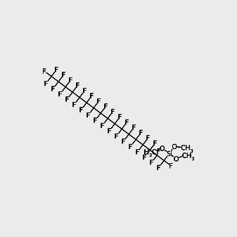 CO[Si](OC)(OC)C(F)(F)C(F)(F)C(F)(F)C(F)(F)C(F)(F)C(F)(F)C(F)(F)C(F)(F)C(F)(F)C(F)(F)C(F)(F)C(F)(F)C(F)(F)C(F)(F)C(F)(F)C(F)(F)C(F)(F)F